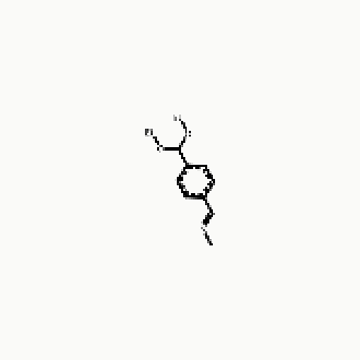 CCOC(OCC)c1ccc(C=NC)cc1